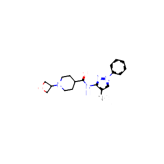 O=C(Nc1nn(-c2ccccc2)cc1[N+](=O)[O-])C1CCN(C2COC2)CC1